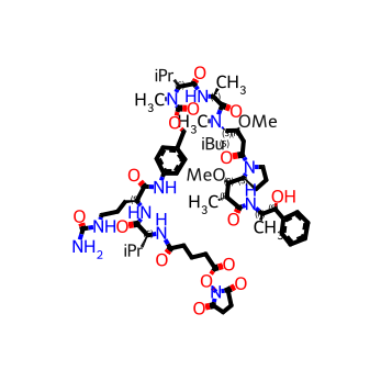 CC[C@H](C)[C@@H]([C@@H](CC(=O)N1CCC[C@H]1[C@H](OC)[C@@H](C)C(=O)N[C@H](C)[C@@H](O)c1ccccc1)OC)N(C)C(=O)[C@H](C)NC(=O)[C@H](C(C)C)N(C)C(=O)OCc1ccc(NC(=O)[C@H](CCCNC(N)=O)NC(=O)[C@@H](NC(=O)CCCC(=O)ON2C(=O)CCC2=O)C(C)C)cc1